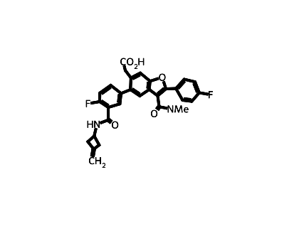 C=C1CC(NC(=O)c2cc(-c3cc4c(C(=O)NC)c(-c5ccc(F)cc5)oc4cc3CC(=O)O)ccc2F)C1